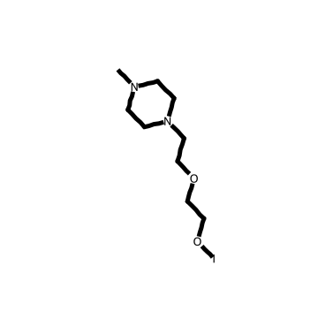 CN1CCN(CCOCCOI)CC1